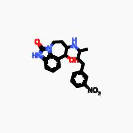 CC(CCc1cccc([N+](=O)[O-])c1)NC1CCn2c(=O)[nH]c3cccc(c32)C1O